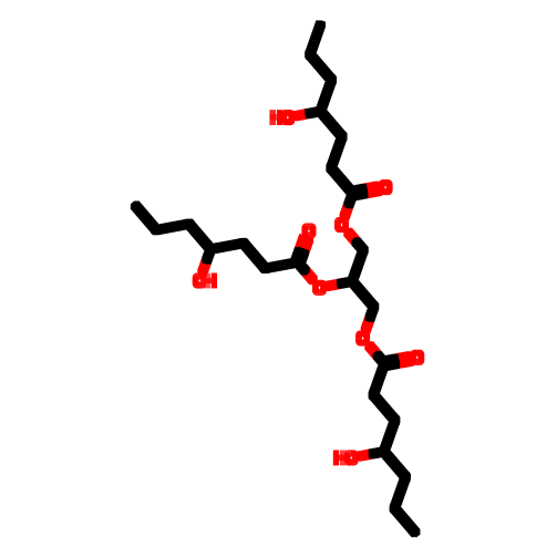 CCCC(O)CCC(=O)OCC(COC(=O)CCC(O)CCC)OC(=O)CCC(O)CCC